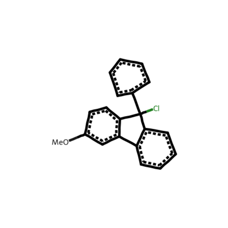 COc1ccc2c(c1)-c1ccccc1C2(Cl)c1ccccc1